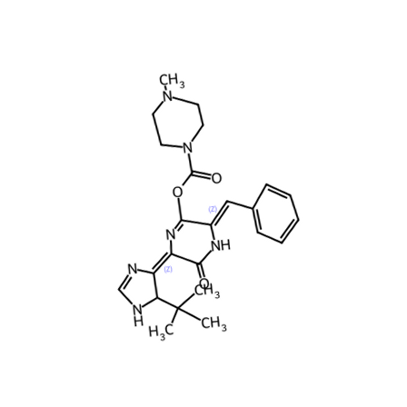 CN1CCN(C(=O)Oc2n/c(=C3\N=CNC3C(C)(C)C)c(=O)[nH]/c2=C\c2ccccc2)CC1